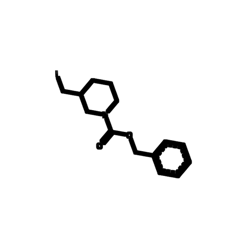 O=C(OCc1ccccc1)N1CCCC(CI)C1